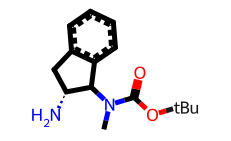 CN(C(=O)OC(C)(C)C)C1c2ccccc2C[C@H]1N